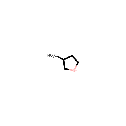 O=C(O)C1CBCC1